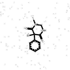 CCC1(c2ccccc2)C(=O)NCN(I)C1=O